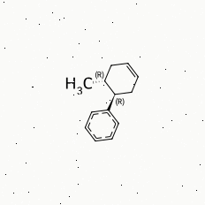 C[C@@H]1CC=CC[C@H]1c1ccccc1